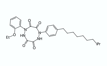 CCOc1ccccc1N1NC(=O)C(=O)NN(c2ccc(CCCCCCCC(C)C)cc2)C(=O)C1=O